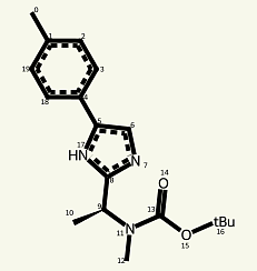 Cc1ccc(-c2cnc([C@H](C)N(C)C(=O)OC(C)(C)C)[nH]2)cc1